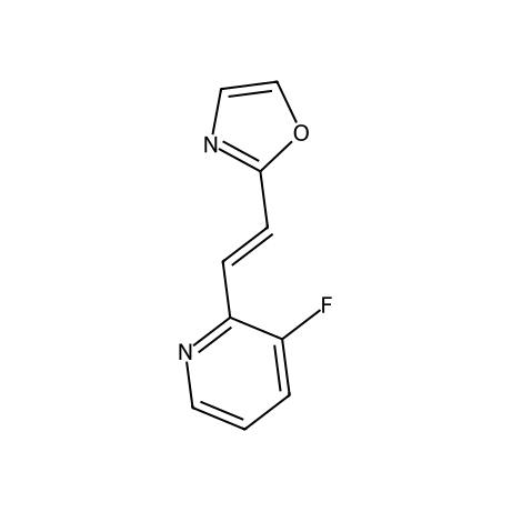 Fc1cccnc1C=Cc1ncco1